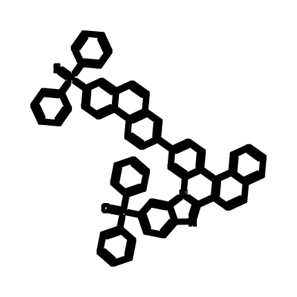 O=P(c1ccccc1)(c1ccccc1)c1ccc2nc3c4ccc5ccccc5c4c4ccc(-c5ccc6c(ccc7cc(P(=S)(c8ccccc8)c8ccccc8)ccc76)c5)cc4n3c2c1